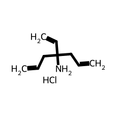 C=CCC(N)(C=C)CC=C.Cl